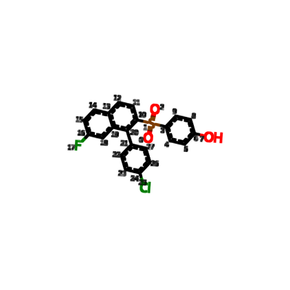 O=S(=O)(c1ccc(O)cc1)c1ccc2ccc(F)cc2c1-c1ccc(Cl)cc1